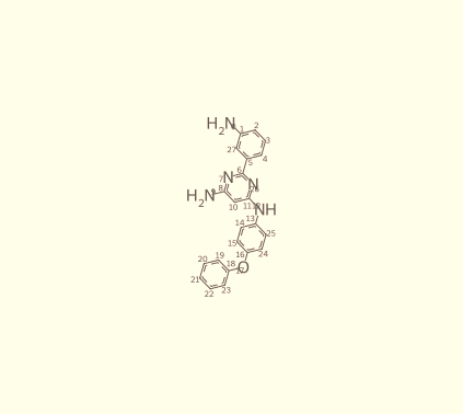 Nc1cccc(-c2nc(N)cc(Nc3ccc(Oc4ccccc4)cc3)n2)c1